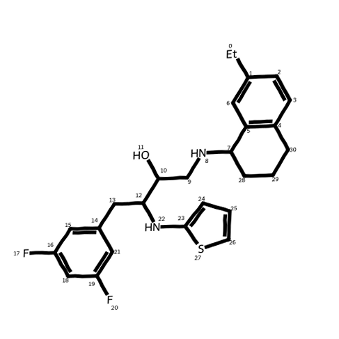 CCc1ccc2c(c1)C(NCC(O)C(Cc1cc(F)cc(F)c1)Nc1cccs1)CCC2